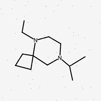 CCN1CCN(C(C)C)CC12CCC2